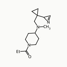 CCC(=O)N1CCC(N(C)CC2(C3C=N3)CC2)CC1